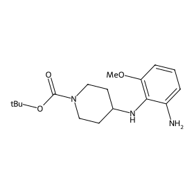 COc1cccc(N)c1NC1CCN(C(=O)OC(C)(C)C)CC1